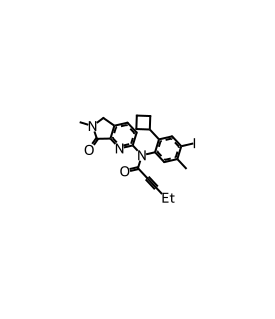 CCC#CC(=O)N(c1ccc2c(n1)C(=O)N(C)C2)c1cc(C)c(I)cc1C1CCC1